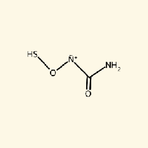 NC(=O)[N+]OS